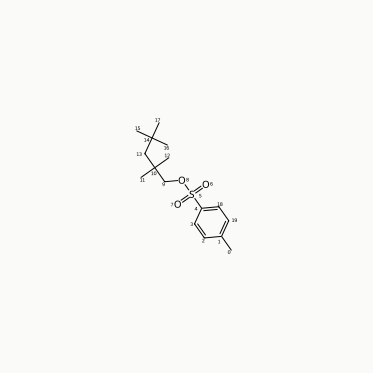 Cc1ccc(S(=O)(=O)OCC(C)(C)CC(C)(C)C)cc1